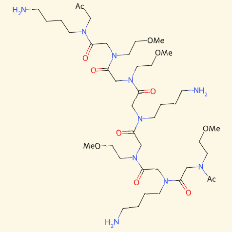 COCCN(CC(=O)N(CCCCN)CC(=O)N(CCOC)CC(=O)N(CCCCN)CC(=O)N(CCOC)CC(=O)N(CCOC)CC(=O)N(CCCCN)CC(C)=O)C(C)=O